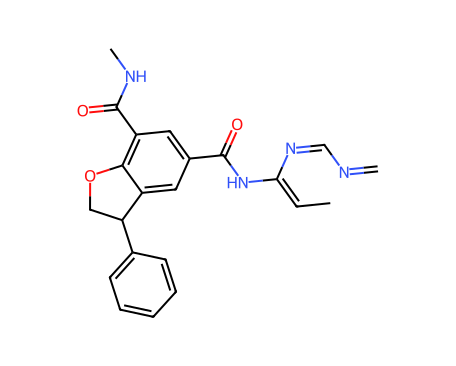 C=N/C=N\C(=C/C)NC(=O)c1cc(C(=O)NC)c2c(c1)C(c1ccccc1)CO2